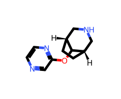 c1cnc(OC2[C@@H]3CC[C@H]2CNC3)cn1